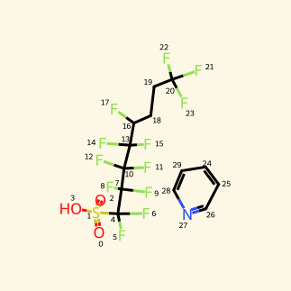 O=S(=O)(O)C(F)(F)C(F)(F)C(F)(F)C(F)(F)C(F)CCC(F)(F)F.c1ccncc1